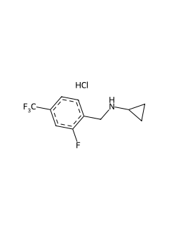 Cl.Fc1cc(C(F)(F)F)ccc1CNC1CC1